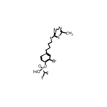 Cc1nnc(SCCCCc2ccc(OP(=O)(O)C(F)F)c(Br)c2)s1